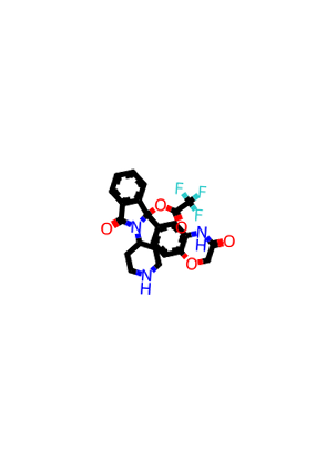 O=C1COc2ccc(C3(OC(=O)C(F)(F)F)c4ccccc4C(=O)N3C3CCNCC3)cc2N1